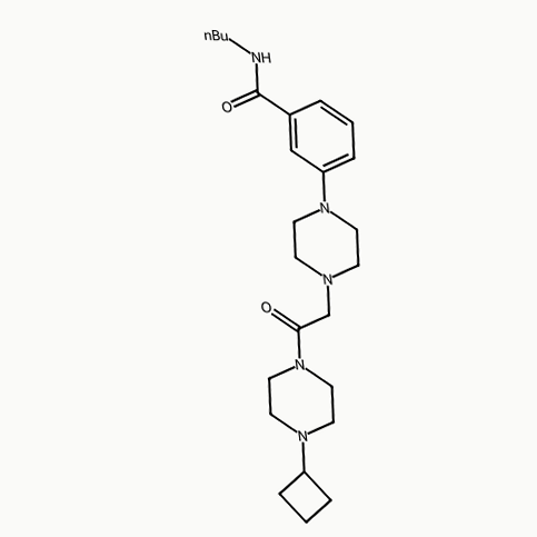 CCCCNC(=O)c1cccc(N2CCN(CC(=O)N3CCN(C4CCC4)CC3)CC2)c1